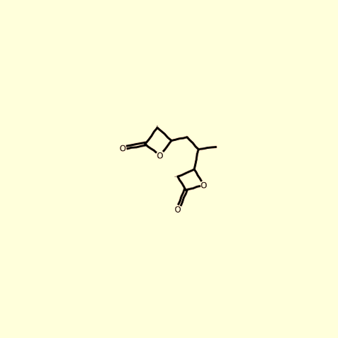 CC(CC1[CH]C(=O)O1)C1[CH]C(=O)O1